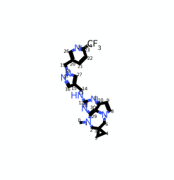 CN1CC2(CC2)Cn2ccc3nc(NCc4cnn(Cc5ccc(C(F)(F)F)nc5)c4)nc1c32